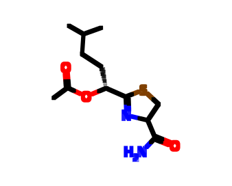 CC(=O)O[C@H](CCC(C)C)C1=NC(C(N)=O)CS1